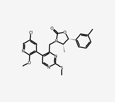 COc1ncc(Cl)cc1-c1cnc(SC)nc1CN1C(=O)O[C@H](c2cccc(C)c2)[C@@H]1C